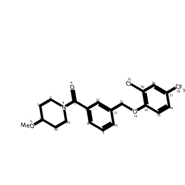 COC1CCN(C(=O)c2cccc(COc3ccc(C(F)(F)F)cc3Cl)c2)CC1